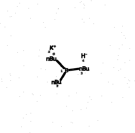 CCCCB(CCCC)CCCC.[H-].[K+]